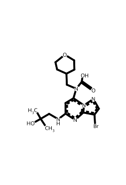 CC(C)(O)CNc1cc(N(CC2CCOCC2)C(=O)O)n2ncc(Br)c2n1